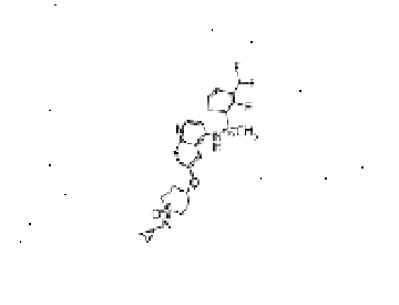 C[C@@H](Nc1ccnc2ccc(OC3CCS(=O)(=NC4CC4)CC3)cc12)c1cccc(C(F)F)c1F